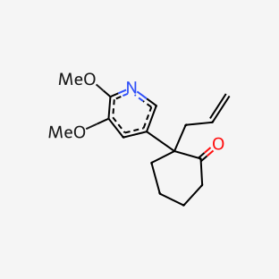 C=CCC1(c2cnc(OC)c(OC)c2)CCCCC1=O